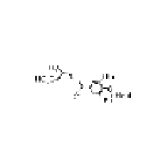 CCCCCCCOc1c(C(C)(C)C)cc(/C(C)=C/C=CC(C)=CC(=O)O)cc1C(C)(C)C